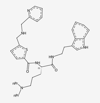 CCCN(CCC)CCC[C@H](NC(=O)c1ccc(CNCc2ccccn2)s1)C(=O)NCCc1c[nH]c2ccccc12